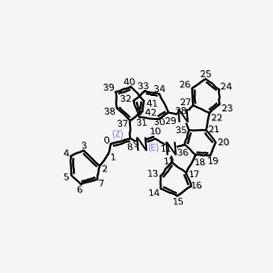 C(/Cc1ccccc1)=C(/N=C/n1c2ccccc2c2ccc3c4ccccc4n(-c4ccccc4)c3c21)c1ccccc1